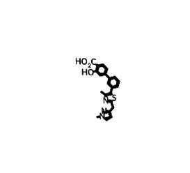 Cc1nc(Cc2ccn(C)n2)sc1-c1cccc(-c2ccc(C(=O)O)c(O)c2)c1